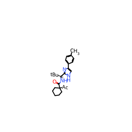 CC(=O)C1(C(=O)N[C@H](c2nc(-c3ccc(C)cc3)c[nH]2)C(C)(C)C)CCCCC1